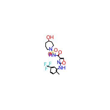 Cc1ccc(C(F)(F)F)cc1Nc1nc(C(=O)NS(=O)(=O)N2CCCC(O)CC2)co1